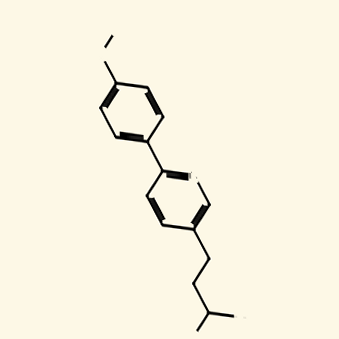 CCCCCCCCOc1ccc(-c2ccc(CCC(C)O)cn2)cc1